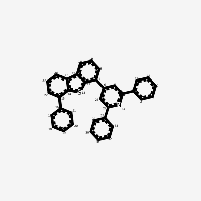 c1ccc(-c2cc(-c3cccc4c3sc3c(-c5ccccc5)cccc34)cc(-c3ccccc3)n2)cc1